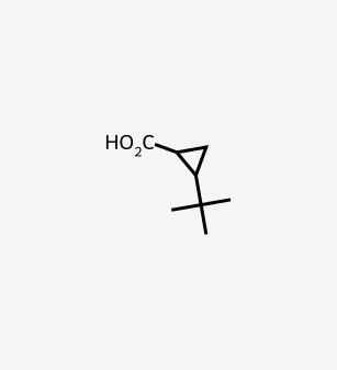 CC(C)(C)C1CC1C(=O)O